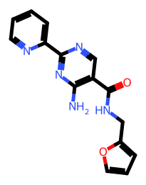 Nc1nc(-c2ccccn2)ncc1C(=O)NCc1ccco1